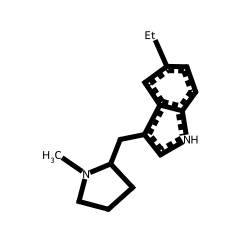 CCc1ccc2[nH]cc(CC3CCCN3C)c2c1